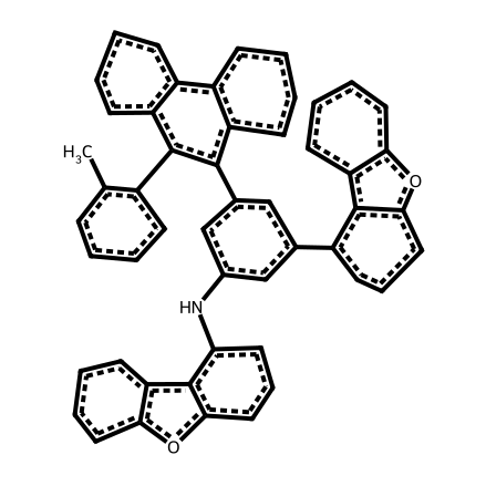 Cc1ccccc1-c1c(-c2cc(Nc3cccc4oc5ccccc5c34)cc(-c3cccc4oc5ccccc5c34)c2)c2ccccc2c2ccccc12